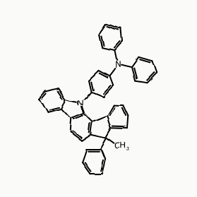 CC1(c2ccccc2)c2ccccc2-c2c1ccc1c3ccccc3n(-c3ccc(N(c4ccccc4)c4ccccc4)cc3)c21